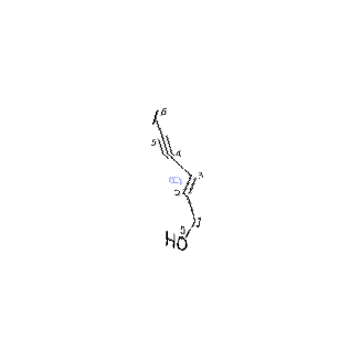 OC/C=C/C#CI